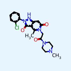 Cc1c2c(=O)n(-c3ccccc3Cl)[nH]c2cc(=O)n1CC(=O)N1CCN(C)CC1